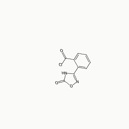 O=C(Cl)c1ccccc1-c1noc(=O)[nH]1